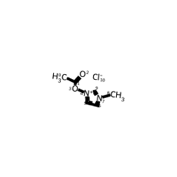 CC(=O)O[n+]1ccn(C)c1.[Cl-]